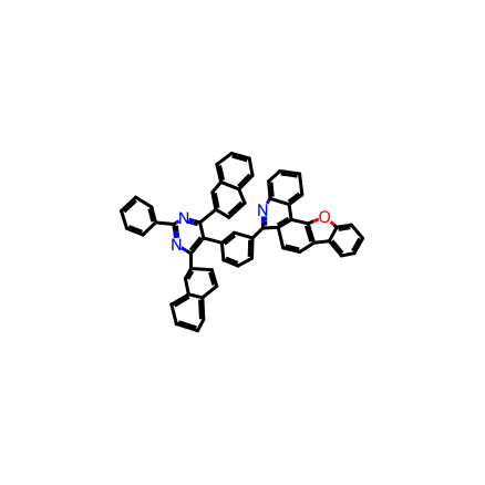 c1ccc(-c2nc(-c3ccc4ccccc4c3)c(-c3cccc(-c4nc5ccccc5c5c4ccc4c6ccccc6oc45)c3)c(-c3ccc4ccccc4c3)n2)cc1